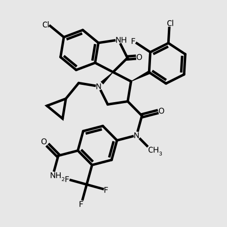 CN(C(=O)C1CN(CC2CC2)[C@@]2(C(=O)Nc3cc(Cl)ccc32)[C@H]1c1cccc(Cl)c1F)c1ccc(C(N)=O)c(C(F)(F)F)c1